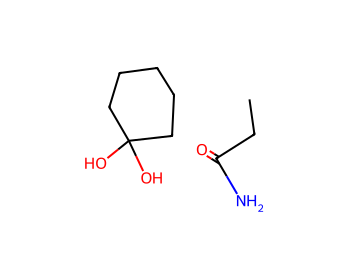 CCC(N)=O.OC1(O)CCCCC1